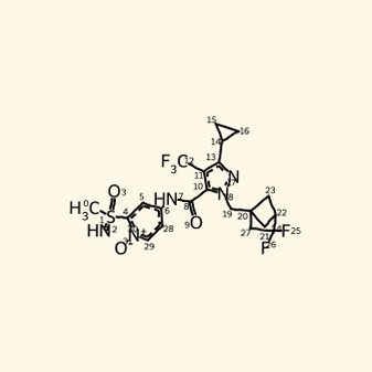 CS(=N)(=O)c1cc(NC(=O)c2c(C(F)(F)F)c(C3CC3)nn2CC23CC(C2)C(F)(F)C3)cc[n+]1[O-]